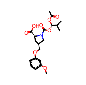 COc1cccc(OC[C@H]2C[C@@H](C(=O)O)N(C(=O)O[C@H](OC(C)=O)C(C)C)C2)c1